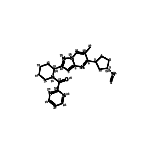 C=N[C@H]1CCC(c2nc3cc([C@@H]4CCCCN4C(=O)c4ncccn4)nn3cc2C)C1